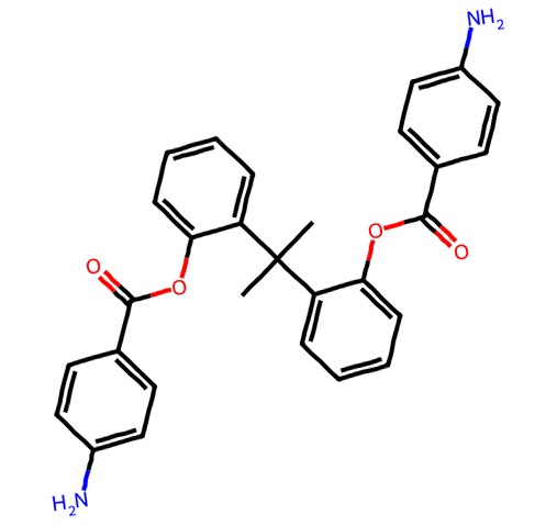 CC(C)(c1ccccc1OC(=O)c1ccc(N)cc1)c1ccccc1OC(=O)c1ccc(N)cc1